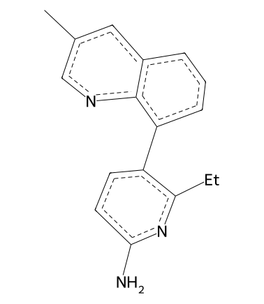 CCc1nc(N)ccc1-c1cccc2cc(C)cnc12